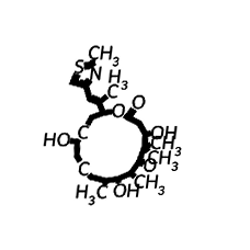 CC(=Cc1csc(C)n1)C1CCC(O)CCCC(C)C(O)C(C)C(=O)C(C)(C)C(O)CC(=O)O1